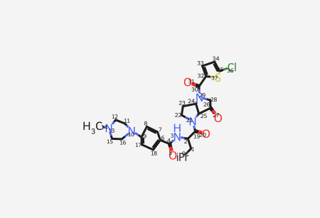 CC(C)CC(NC(=O)c1ccc(N2CCN(C)CC2)cc1)C(=O)N1CCC2C1C(=O)CN2C(=O)c1ccc(Cl)s1